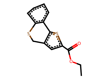 CCOC(=O)c1cc2c(s1)-c1ccccc1SC2